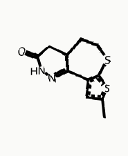 Cc1cc2c(s1)SCCC1CC(=O)NN=C21